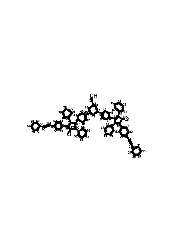 C#Cc1cc(-c2ccc(C3=C(c4ccccc4)C(=O)C(c4ccc(C#Cc5ccccc5)cc4)=C3c3ccccc3)cc2)cc(-c2ccc(C3=C(c4ccccc4)C(=O)C(c4ccc(C#Cc5ccccc5)cc4)=C3c3ccccc3)cc2)c1